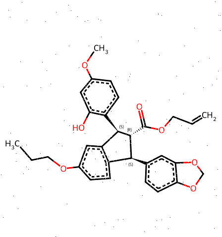 C=CCOC(=O)[C@H]1[C@H](c2ccc(OC)cc2O)c2cc(OCCC)ccc2[C@@H]1c1ccc2c(c1)OCO2